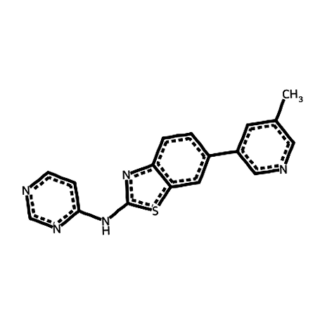 Cc1cncc(-c2ccc3nc(Nc4ccncn4)sc3c2)c1